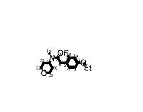 CCOc1ccc(CC(=O)N(C)C2CCOCC2)c(F)c1